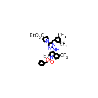 CCOC(=O)C1CCN(c2cnc(N[C@H]3C[C@@H](CC)N(C(=O)OCc4ccccc4)c4ccc(C(F)(F)F)cc43)nc2Cc2cc(C(F)(F)F)cc(C(F)(F)F)c2)CC1